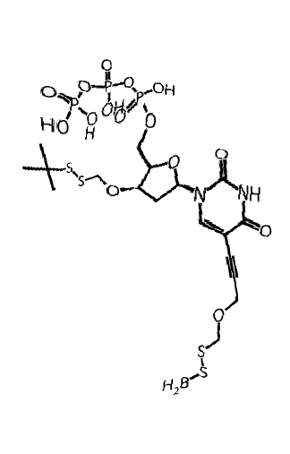 BSSCOCC#Cc1cn([C@H]2C[C@@H](OCSSC(C)(C)C)C(COP(=O)(O)OP(=O)(O)OP(=O)(O)O)O2)c(=O)[nH]c1=O